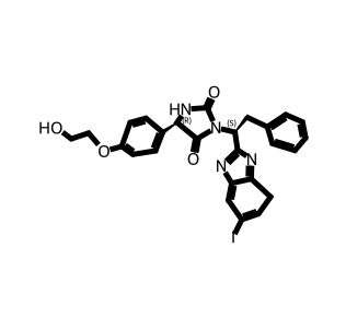 O=C1N[C@H](c2ccc(OCCO)cc2)C(=O)N1[C@@H](Cc1ccccc1)C1=NC2=CC(I)=CCC2=N1